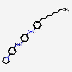 CCCCCCCCc1ccc(/N=N/c2ccc(/N=N/c3ccc(N4CCCC4)cc3)cc2)cc1